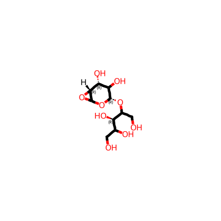 OCC(O)[C@@H](O)C(CO)O[C@@H]1OC2O[C@@H]2[C@H](O)C1O